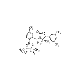 CC1(C)[C@@H](c2cc(C(F)(F)F)cc(C(F)(F)F)c2)OC(=O)N1Cc1cc(C(F)(F)F)ccc1B1OC(C)(C)C(C)(C)O1